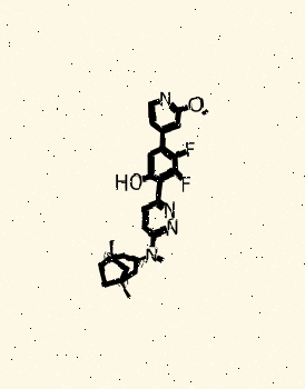 COc1cc(-c2cc(O)c(-c3ccc(N(C)[C@H]4C[C@]5(C)CC[C@](C)(C4)C5)nn3)c(F)c2F)ccn1